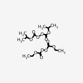 CC(C)OC(=O)OOC(=O)OC(C)C.CCOC(=O)OOC(=O)OCC